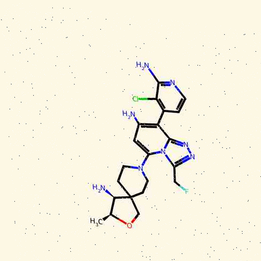 C[C@@H]1OCC2(CCN(c3cc(N)c(-c4ccnc(N)c4Cl)c4nnc(CF)n34)CC2)[C@@H]1N